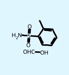 Cc1ccccc1S(N)(=O)=O.O=CO